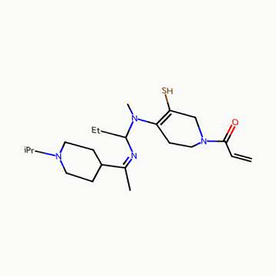 C=CC(=O)N1CCC(N(C)C(CC)N=C(C)C2CCN(C(C)C)CC2)=C(S)C1